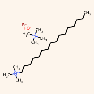 CCCCCCCCCCCCCCCC[N+](C)(C)C.C[N+](C)(C)C.[Br-].[OH-]